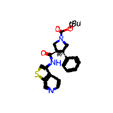 CC(C)(C)OC(=O)N1C[C@H](C(=O)Nc2csc3cnccc23)[C@@H](c2ccccc2)C1